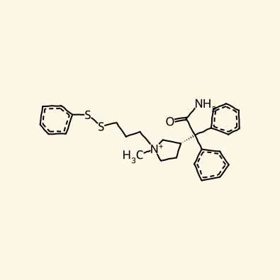 C[N+]1(CCCSSc2ccccc2)CC[C@@H](C(C(N)=O)(c2ccccc2)c2ccccc2)C1